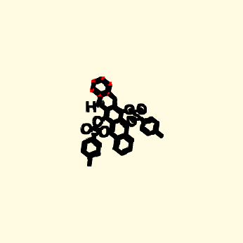 Cc1ccc(S(=O)(=O)Oc2c3c(c(OS(=O)(=O)c4ccc(C)cc4)c4cc5ccccc5cc24)[C@@H]2C4=C(C=CCC4)C3c3ccccc32)cc1